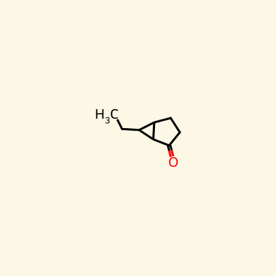 CCC1C2CCC(=O)C12